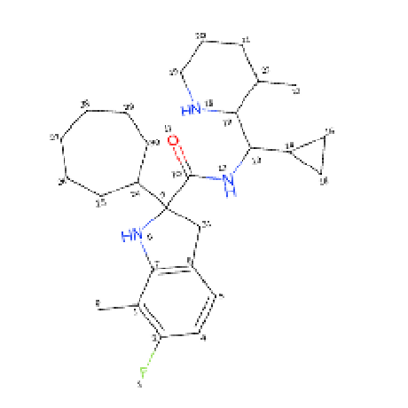 Cc1c(F)ccc2c1NC(C(=O)NC(C1CC1)C1NCCCC1C)(C1CCCCCC1)C2